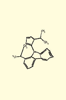 CC(C)c1cccc2c3ccccc3n(-c3nccn3C(C)C)c12